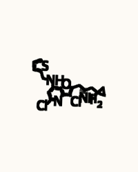 N[C@H](Cc1oc2c(NCc3cccs3)cc(Cl)nc2c1Cl)CC1(F)CC1